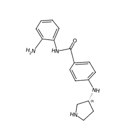 Nc1ccccc1NC(=O)c1ccc(N[C@@H]2CCNC2)cc1